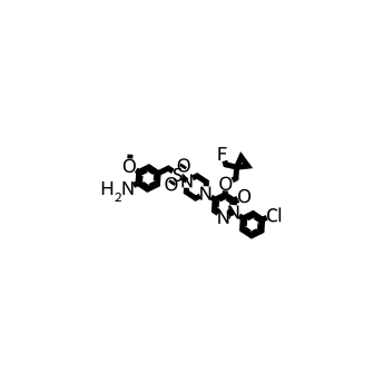 COc1cc(CS(=O)(=O)N2CCN(c3cnn(-c4cccc(Cl)c4)c(=O)c3OCC3(CF)CC3)CC2)ccc1N